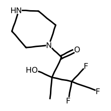 CC(O)(C(=O)N1CCNCC1)C(F)(F)F